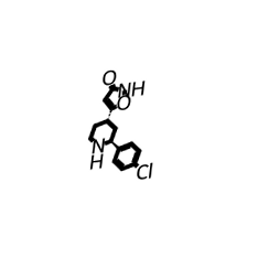 O=c1cc([C@H]2CCN[C@H](c3ccc(Cl)cc3)C2)o[nH]1